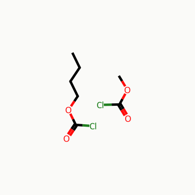 CCCCOC(=O)Cl.COC(=O)Cl